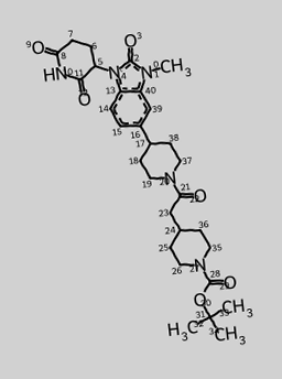 Cn1c(=O)n(C2CCC(=O)NC2=O)c2ccc(C3CCN(C(=O)CC4CCN(C(=O)OC(C)(C)C)CC4)CC3)cc21